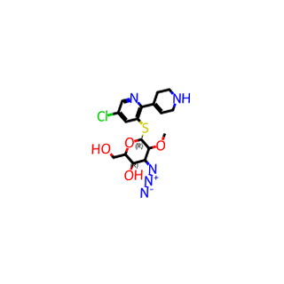 COC1C(N=[N+]=[N-])[C@@H](O)C(CO)O[C@@H]1Sc1cc(Cl)cnc1C1=CCNCC1